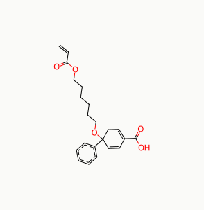 C=CC(=O)OCCCCCCOC1(c2ccccc2)C=CC(C(=O)O)=CC1